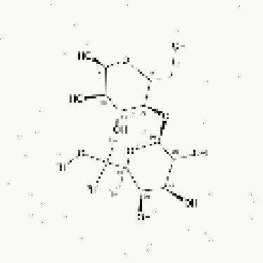 [3H]OC([3H])([3H])[C@@]1([3H])O[C@@H](O[C@H]2[C@H](O)[C@@H](O)[C@@H](O)O[C@@H]2CO)[C@H](O)[C@@H](O)[C@H]1O